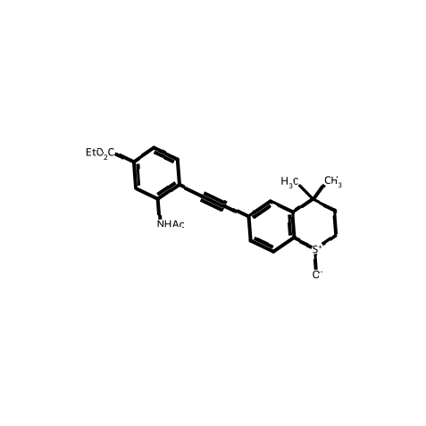 CCOC(=O)c1ccc(C#Cc2ccc3c(c2)C(C)(C)CC[S+]3[O-])c(NC(C)=O)c1